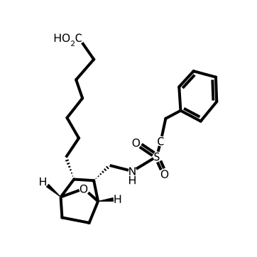 O=C(O)CCCCCC[C@@H]1[C@H](CNS(=O)(=O)CCc2ccccc2)[C@@H]2CC[C@H]1O2